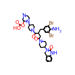 CN1CCN(C2CCN(C(=O)C(CC(=O)N3CCC(N4Cc5ccccc5NC4=O)CC3)Cc3cc(Br)c(N)c(Br)c3)CC2)C(OC(=O)O)C1